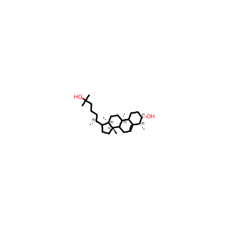 C[C@H](CCCC(C)(C)O)C1CC[C@@]2(C)C3CC=C4C(CC[C@H](O)[C@@H]4C)[C@]3(C)CC[C@]12C